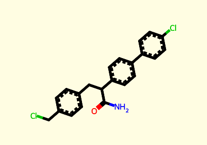 NC(=O)C(Cc1ccc(CCl)cc1)c1ccc(-c2ccc(Cl)cc2)cc1